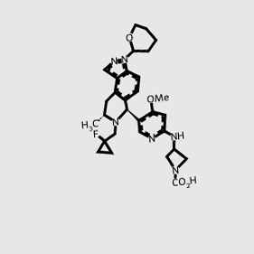 COc1cc(NC2CN(C(=O)O)C2)ncc1[C@@H]1c2ccc3c(cnn3C3CCCCO3)c2C[C@@H](C)N1CC1(F)CC1